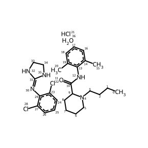 CCCCN1CCCCC1C(=O)Nc1c(C)cccc1C.Cl.Clc1cccc(Cl)c1N=C1NCCN1.O